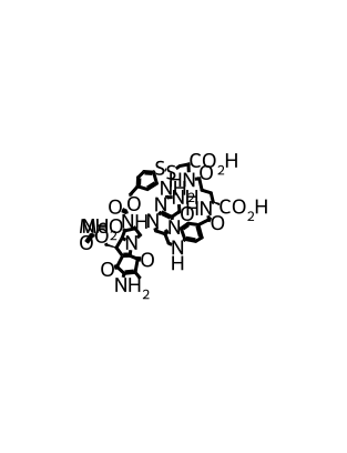 CO[C@@]12C3[C@H](COC(N)=O)C4=C(C(=O)C(C)=C(N)C4=O)N3C[C@@H]1N2C(=O)OCc1ccc(SSC[C@H](NC(=O)CC[C@H](NC(=O)c2ccc(NCc3cnc4nc(N)[nH]c(=O)c4n3)cc2)C(=O)O)C(=O)O)cc1